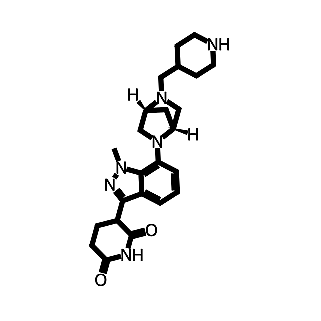 Cn1nc(C2CCC(=O)NC2=O)c2cccc(N3C[C@H]4C[C@@H]3CN4CC3CCNCC3)c21